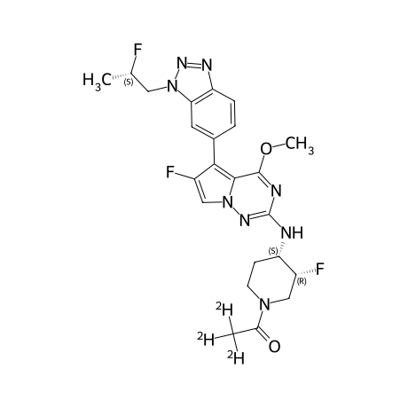 [2H]C([2H])([2H])C(=O)N1CC[C@H](Nc2nc(OC)c3c(-c4ccc5nnn(C[C@H](C)F)c5c4)c(F)cn3n2)[C@H](F)C1